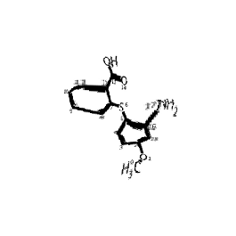 COc1ccc(Sc2ccccc2C(=O)O)c(N)c1